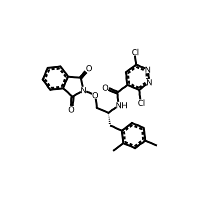 Cc1ccc(C[C@H](CON2C(=O)c3ccccc3C2=O)NC(=O)c2cc(Cl)nnc2Cl)c(C)c1